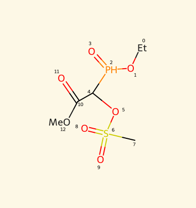 CCO[PH](=O)C(OS(C)(=O)=O)C(=O)OC